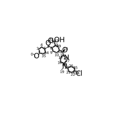 COc1ccc(C(=O)c2ccc(C(=O)c3ccc(N(C)c4ccc(Cl)cc4)cn3)cc2C(=O)O)cc1